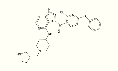 O=C(c1ccc(Oc2ccccc2)cc1Cl)c1c[nH]c2ncnc(NC3CCN(CC4CCNC4)CC3)c12